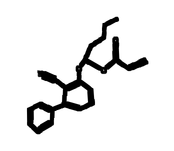 C=CC(=O)OC(CCCC)Oc1cccc(-c2ccccc2)c1C#N